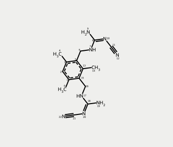 Cc1cc(C)c(CN/C(N)=N\C#N)c(C)c1CN/C(N)=N\C#N